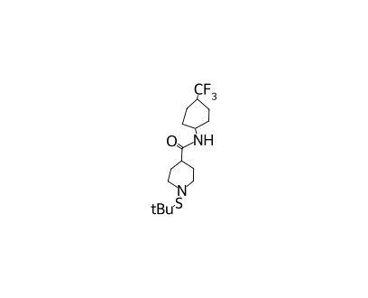 CC(C)(C)SN1CCC(C(=O)NC2CCC(C(F)(F)F)CC2)CC1